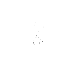 c1cnn(C2CCCCC2)c1